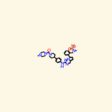 CN1CCN(C(=O)N2CCC(c3ccc(Nc4ncc5ccc(-c6ccccc6CN(C)[SH](=O)=O)n5n4)cc3)CC2)CC1